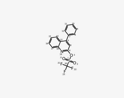 O=S(=O)(Oc1cc(-c2ccccc2)c2ccccc2n1)C(F)(F)F